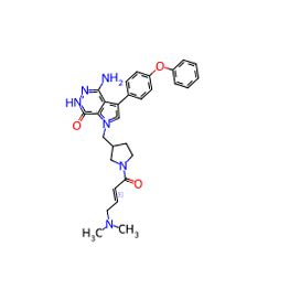 CN(C)C/C=C/C(=O)N1CCC(Cn2cc(-c3ccc(Oc4ccccc4)cc3)c3c(N)n[nH]c(=O)c32)C1